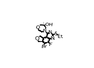 CCSc1nc(N2CCOC[C@@](C)(O)C2)c2c3c(c(Br)c(F)c2n1)COC3